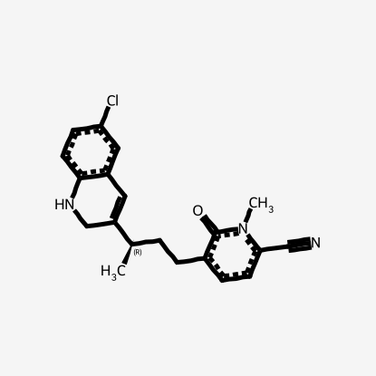 C[C@H](CCc1ccc(C#N)n(C)c1=O)C1=Cc2cc(Cl)ccc2NC1